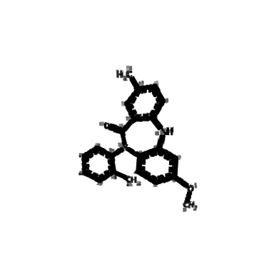 COc1ccc2c(c1)Nc1ccc(C)cc1C(=O)N2c1ccccc1C